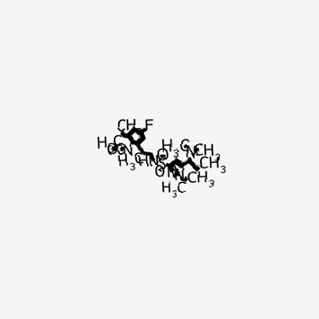 CCC(c1cc(S(=O)(=O)NCC(C)c2cc(F)cc(C(C)C)c2N=C=O)nn1C(C)C)N(C)C